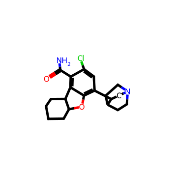 NC(=O)c1c(Cl)cc(C2CN3CCC2CC3)c2c1C1CCCCC1O2